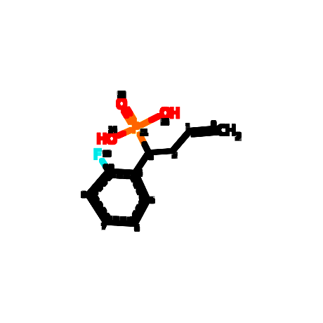 C=CCC(c1ccccc1F)P(=O)(O)O